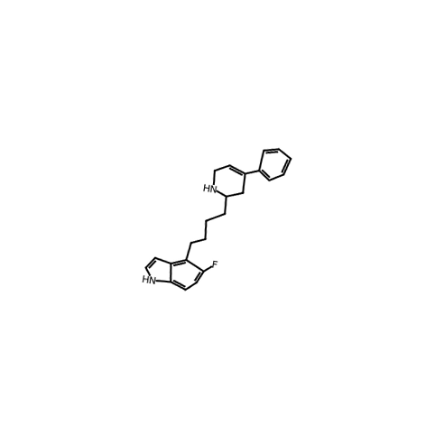 Fc1ccc2[nH]ccc2c1CCCCC1CC(c2ccccc2)=CCN1